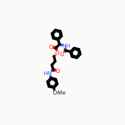 COc1ccc(NC(=O)CCCOC(=O)C(NC(=O)c2ccccc2)c2ccccc2)cc1